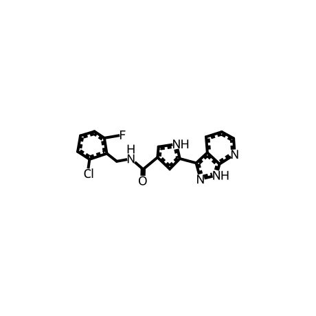 O=C(NCc1c(F)cccc1Cl)c1c[nH]c(-c2n[nH]c3ncccc23)c1